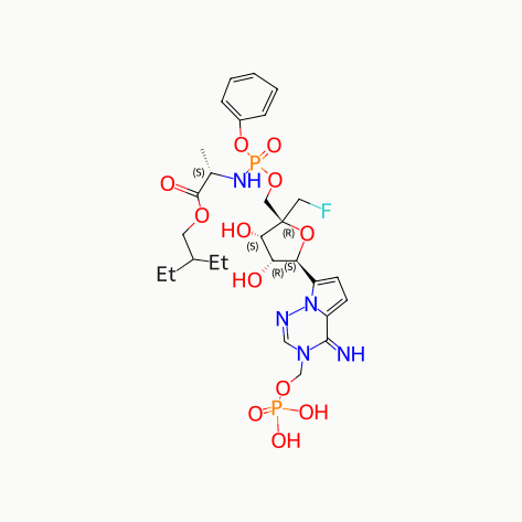 CCC(CC)COC(=O)[C@H](C)NP(=O)(OC[C@@]1(CF)O[C@@H](c2ccc3c(=N)n(COP(=O)(O)O)cnn23)[C@H](O)[C@@H]1O)Oc1ccccc1